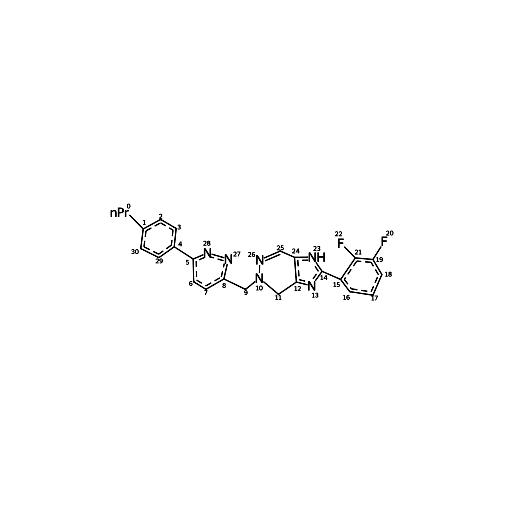 CCCc1ccc(-c2ccc(CN3Cc4nc(-c5cccc(F)c5F)[nH]c4C=N3)nn2)cc1